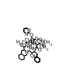 CC(C)(C)NC(=O)C1CC2CCCCC2CN1CC(O)C(Cc1ccccc1)NC(=O)C(NC(=O)COc1ncccn1)C(C)(C)S(C)(=O)=O